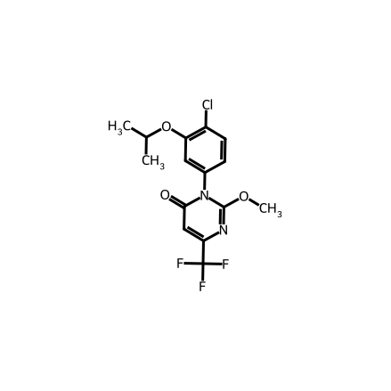 COc1nc(C(F)(F)F)cc(=O)n1-c1ccc(Cl)c(OC(C)C)c1